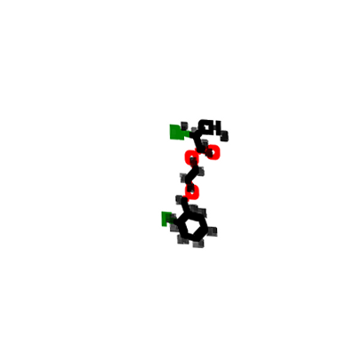 CC(Br)C(=O)OCCOCc1ccccc1F